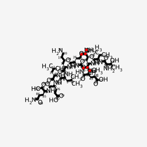 CC(C)C[C@H](NC(=O)[C@H](CC(C)C)NC(=O)[C@H](CCCCN)NC(=O)[C@H](CCCCN)NC(=O)[C@H](CC(C)C)NC(=O)[C@H](CCC(=O)O)NC(=O)[C@H](CCC(=O)O)NC(=O)[C@@H](NC(=O)[C@@H](N)[C@@H](C)O)C(C)C)C(=O)N[C@@H](CCC(=O)O)C(=O)N[C@@H](CCC(N)=O)C(=O)O